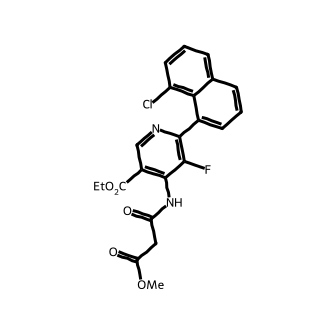 CCOC(=O)c1cnc(-c2cccc3cccc(Cl)c23)c(F)c1NC(=O)CC(=O)OC